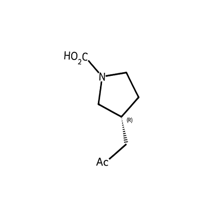 CC(=O)C[C@H]1CCN(C(=O)O)C1